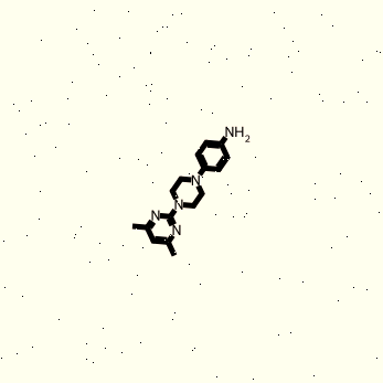 Cc1cc(C)nc(N2CCN(c3ccc(N)cc3)CC2)n1